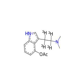 [2H]C([2H])(c1c[nH]c2cccc(OC(C)=O)c12)C([2H])([2H])N(C)C